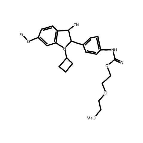 CCOc1ccc2c(c1)N(C1CCC1)C(c1ccc(NC(=O)OCCOCCOC)cc1)C2C#N